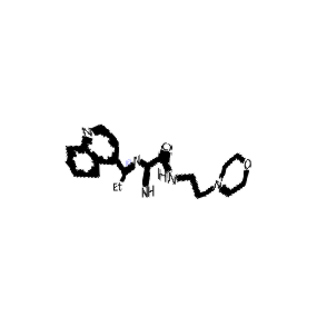 CC/C(=N\C(=N)C(=O)NCCN1CCOCC1)c1ccnc2ccccc12